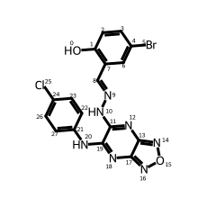 Oc1ccc(Br)cc1C=NNc1nc2nonc2nc1Nc1ccc(Cl)cc1